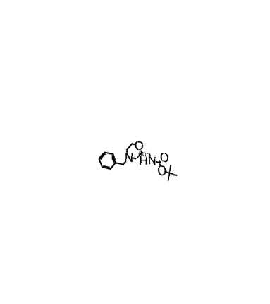 CC(C)(C)OC(=O)NC[C@@H]1CN(Cc2ccccc2)CCO1